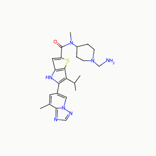 Cc1cc(-c2[nH]c3cc(C(=O)N(C)C4CCN(CN)CC4)sc3c2C(C)C)cn2ncnc12